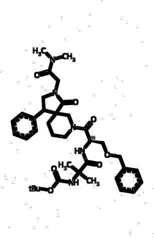 CN(C)C(=O)CN1CC(c2ccccc2)C2(CCCN(C(=O)[C@@H](COCc3ccccc3)NC(=O)C(C)(C)NC(=O)OC(C)(C)C)C2)C1=O